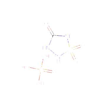 O=C1NNS(=O)(=O)N1.O=P(O)(O)O